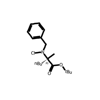 CCCC[C@](C)(C(=O)OC(C)(C)C)N(Cl)Cc1ccccc1